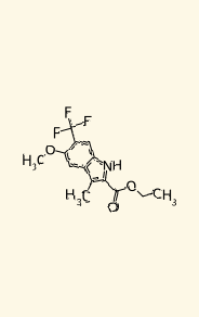 CCOC(=O)c1[nH]c2cc(C(F)(F)F)c(OC)cc2c1C